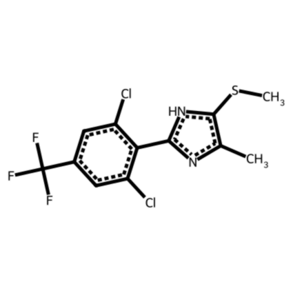 CSc1[nH]c(-c2c(Cl)cc(C(F)(F)F)cc2Cl)nc1C